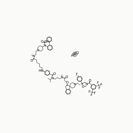 CC(C)N(CCCN(C)C(=O)CO[C@H]1Cc2ccccc2C12CCN(CC[C@]1(c3ccc(F)cc3)CN(C(=O)c3cc(C(F)(F)F)cc(C(F)(F)F)c3)CO1)CC2)C(=O)c1ccc(NCCCCCC(=O)N(C)CCN2CCC(N(C(=O)O)c3ccccc3-c3ccccc3)CC2)cc1.Cl.Cl.Cl